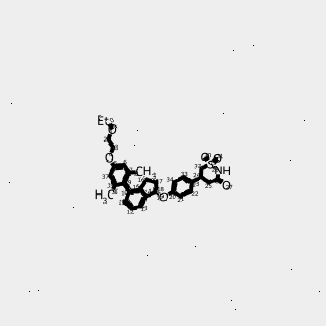 CCOCCOc1cc(C)c(-c2cccc3c2CC[C@H]3Oc2ccc(C3CC(=O)NS(=O)(=O)C3)cc2)c(C)c1